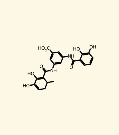 CC1CC=C(O)C(O)=C1C(=O)Nc1cc(NC(=O)c2cccc(O)c2O)cc(C(=O)O)c1